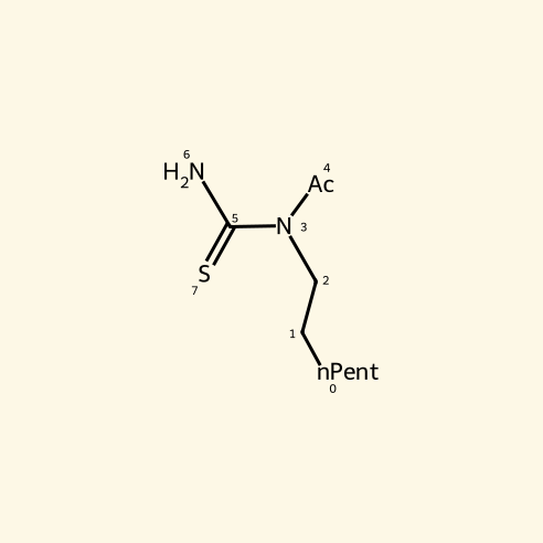 CCCCCCCN(C(C)=O)C(N)=S